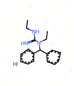 CCNC(=N)N(CC)C(c1ccccc1)c1ccccc1.I